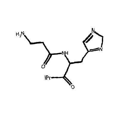 CC(C)C(=O)C(CC1=NCN=C1)NC(=O)CCN